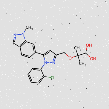 Cn1ncc2ccc(-c3cc(COC(C)(C)C(O)O)nn3-c3ccccc3Cl)cc21